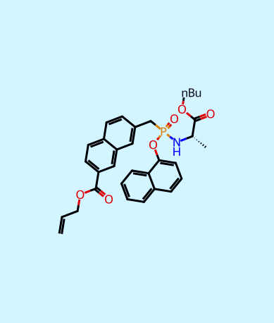 C=CCOC(=O)c1ccc2ccc(CP(=O)(N[C@@H](C)C(=O)OCCCC)Oc3cccc4ccccc34)cc2c1